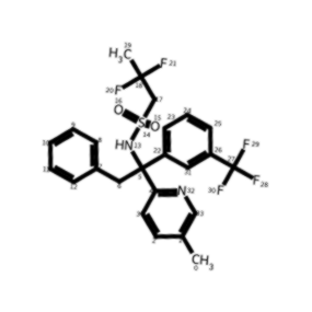 Cc1ccc(C(Cc2ccccc2)(NS(=O)(=O)CC(C)(F)F)c2cccc(C(F)(F)F)c2)nc1